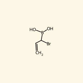 C=CC(Br)B(O)O